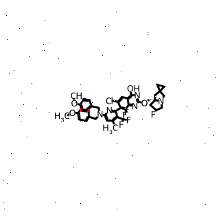 COc1ccc(CN(Cc2ccc(OC)cc2)c2cc(C)c(C(F)(F)F)c(-c3c(Cl)cc4c(O)nc(OC[C@@]56C[C@@H](F)CN5CC5(CC5)C6)nc4c3F)n2)cc1